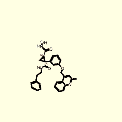 Cc1cc(COc2cccc([C@@]3(C(=O)NCCc4ccccc4)C[C@H]3C(=O)NO)c2)c2ccccc2n1